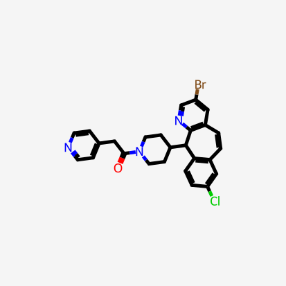 O=C(Cc1ccncc1)N1CCC(C2c3ccc(Cl)cc3C=Cc3cc(Br)cnc32)CC1